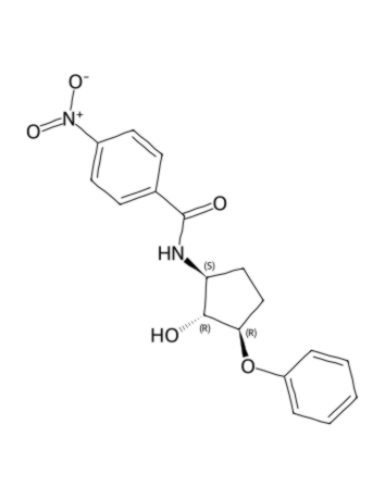 O=C(N[C@H]1CC[C@@H](Oc2ccccc2)[C@@H]1O)c1ccc([N+](=O)[O-])cc1